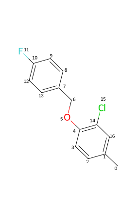 Cc1ccc(OCc2ccc(F)cc2)c(Cl)c1